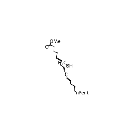 CCCCCC=CCC=CCC=CCC=CCCCC(=O)OC.CO